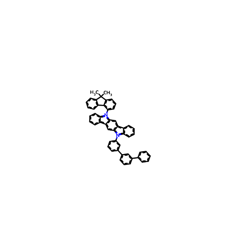 CC1(C)c2ccccc2-c2c(-n3c4ccccc4c4cc5c(cc43)c3ccccc3n5-c3cccc(-c4cccc(-c5ccccc5)c4)c3)cccc21